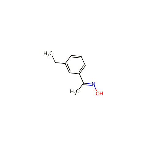 CCc1cccc(C(C)=NO)c1